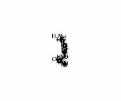 Cc1nc(N2C[C@@H]3[C@@H](N)[C@@H]3C2)ccc1Cn1cc(C(=O)NCc2cc(Cl)ccc2-n2cnnn2)cn1